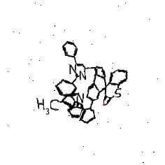 Cc1ccnc(-c2ccccc2-c2ccc3c(c2)C2(c4ccccc4Sc4ccccc42)c2cccc(-c4cc(-c5ccccc5)nc(-c5cccc(-c6ccccc6)c5)n4)c2-3)c1